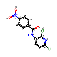 O=C(Nc1ccc(Cl)nc1Cl)c1ccc([N+](=O)[O-])cc1